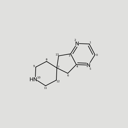 c1cnc2c(n1)CC1(CCNCC1)C2